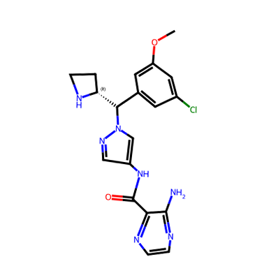 COc1cc(Cl)cc(C([C@H]2CCN2)n2cc(NC(=O)c3nccnc3N)cn2)c1